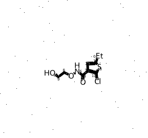 CCc1cc(C(=O)NOCCO)c(Cl)s1